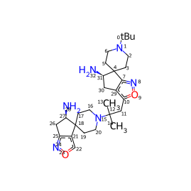 CC(C)(C)N1CCC2(CC1)c1noc(CC(C)(C)N3CCC4(CC3)c3conc3C[C@H]4N)c1C[C@H]2N